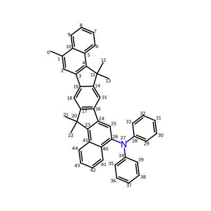 Cc1cc2c(c3ccccc13)C(C)(C)c1cc3c(cc1-2)C(C)(C)c1c-3cc(N(c2ccccc2)c2ccccc2)c2ccccc12